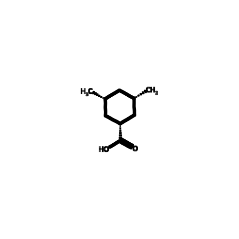 C[C@@H]1C[C@H](C)C[C@H](C(=O)O)C1